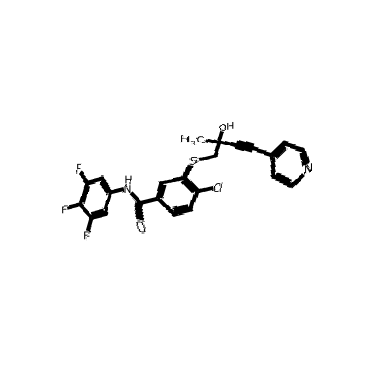 CC(O)(C#Cc1ccncc1)CSc1cc(C(=O)Nc2cc(F)c(F)c(F)c2)ccc1Cl